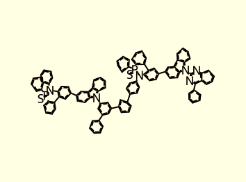 S=P1(c2ccccc2)c2ccccc2-c2cc(-c3ccc4c(c3)c3ccccc3n4-c3cc(-c4ccccc4)cc(-c4cccc(-c5ccc(N6c7ccc(-c8ccc9c(c8)c8ccccc8n9-c8nc(-c9ccccc9)c9ccccc9n8)cc7-c7ccccc7P6(=S)c6ccccc6)cc5)c4)c3)ccc2N1c1ccccc1